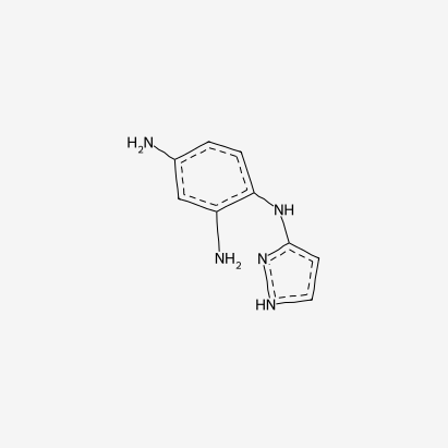 Nc1ccc(Nc2cc[nH]n2)c(N)c1